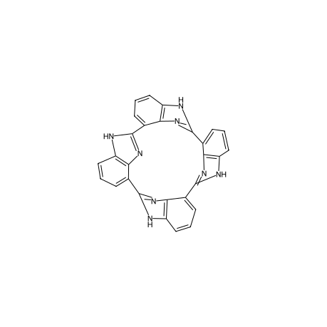 c1cc2[nH]c3nc2c(c1)c1nc2c(cccc2c2nc4c(cccc4c4nc5c(cccc35)[nH]4)[nH]2)[nH]1